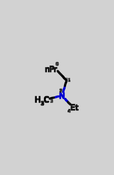 CCC[CH]N(C)CC